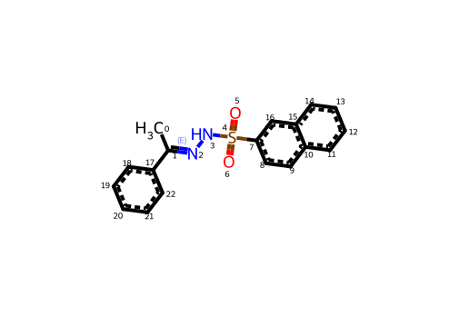 C/C(=N\NS(=O)(=O)c1ccc2ccccc2c1)c1ccccc1